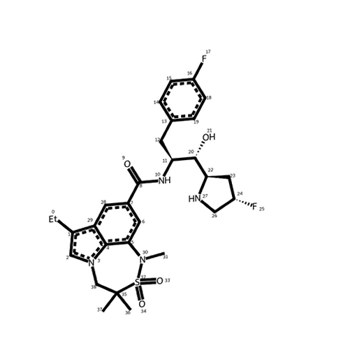 CCc1cn2c3c(cc(C(=O)N[C@@H](Cc4ccc(F)cc4)[C@H](O)[C@H]4C[C@H](F)CN4)cc13)N(C)S(=O)(=O)C(C)(C)C2